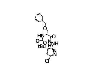 CC(C)(C)OC(=O)NC(COCc1ccccc1)C(=O)NNc1ccc(Cl)nn1